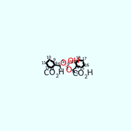 O=C(O)C(OB(O)OC(C(=O)O)c1ccccc1)c1ccccc1